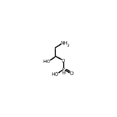 NCC(O)O[PH](=O)O